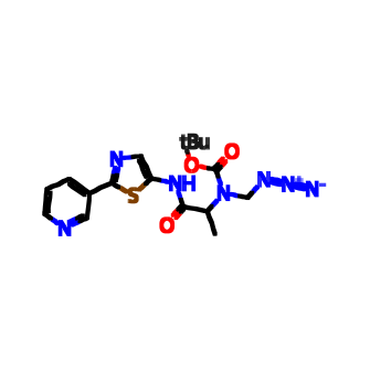 CC(C(=O)Nc1cnc(-c2cccnc2)s1)N(CN=[N+]=[N-])C(=O)OC(C)(C)C